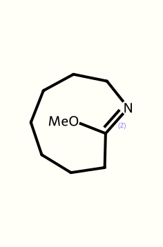 CO/C1=N\CCCCCCC1